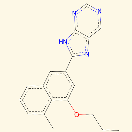 CCCOc1cc(-c2nc3cncnc3[nH]2)cc2cccc(C)c12